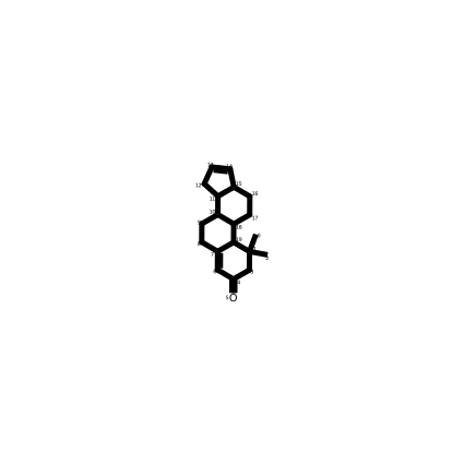 CC1(C)CC(=O)C=C2CCC3C4CC=CC4CCC3C21